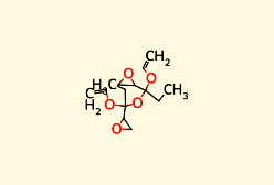 C=COC(CC)(OC(CC)(OC=C)C1CO1)C1CO1